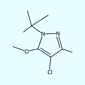 COc1c(Cl)c(C)nn1C(C)(C)C